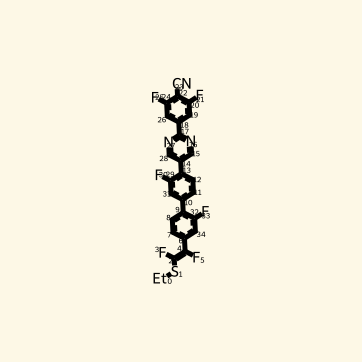 CCS/C(F)=C(\F)c1ccc(-c2ccc(-c3cnc(-c4cc(F)c(C#N)c(F)c4)nc3)c(F)c2)c(F)c1